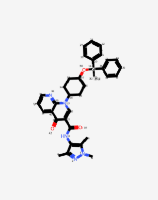 Cc1nn(C)c(C)c1NC(=O)c1cn(C2CCC(O[Si](c3ccccc3)(c3ccccc3)C(C)(C)C)CC2)c2ncccc2c1=O